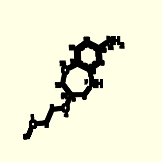 COCCO[C@@H]1CNc2cc(N)ccc2OC1